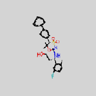 Cc1ccc(F)cc1[C@H](CCO)NC1=NS(=O)(=O)C(c2ccc(-c3ccccc3)cc2)C(C)(C)O1